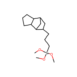 CO[Si](CCCC1CC2CC1C1CCCC21)(OC)OC